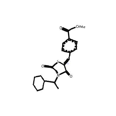 COC(=O)c1ccc(/C=C2\SC(=O)N(C(C)C3CCCCC3)C2=O)cc1